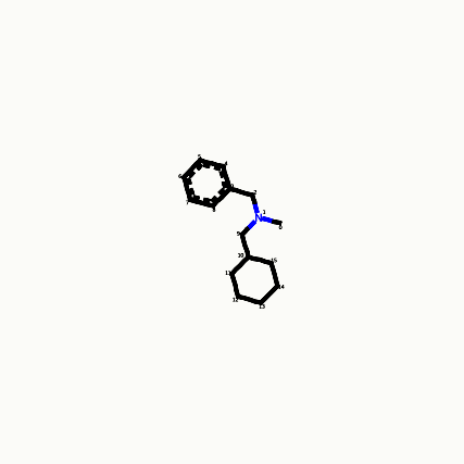 CN(Cc1ccccc1)CC1CCCCC1